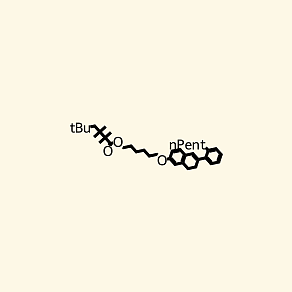 CCCCCc1ccccc1C1=Cc2ccc(OCCCCCCOC(=O)C(C)(C)C(C)(C)CC(C)(C)C)cc2CC1